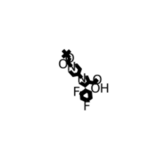 CC(C)(C)OC(=O)N1CCC(N2CC(C(=O)O)[C@H](c3ccc(F)cc3F)C2)CC1